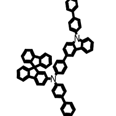 c1ccc(-c2ccc(N(c3ccc(-c4ccc5c(c4)c4ccccc4n5-c4ccc(-c5ccccc5)cc4)cc3)c3ccc4c(c3)C3(c5ccccc5-c5ccccc53)c3ccccc3-4)cc2)cc1